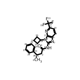 C[C@H](CC(=O)Nc1nc2ccc(C(F)(F)F)nc2n1C1CCC1)c1ccccc1